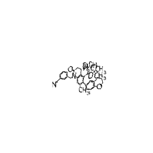 Cc1cc2c(c(C(OC(C)(C)C)C(=O)O)c1-c1ccc3c(c1)CCCO3)CCC(=O)N2Cc1cccc(C#N)c1